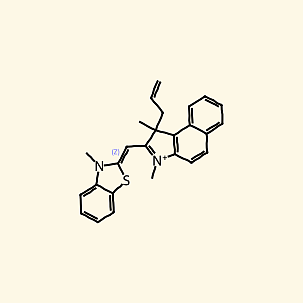 C=CCC1(C)C(/C=C2\Sc3ccccc3N2C)=[N+](C)c2ccc3ccccc3c21